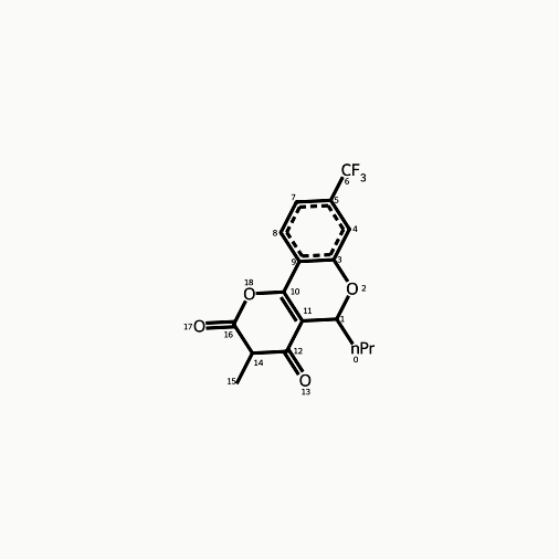 CCCC1Oc2cc(C(F)(F)F)ccc2C2=C1C(=O)C(C)C(=O)O2